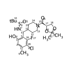 Cc1cc(O)c([C@H](N[S@@+]([O-])C(C)(C)C)C2CCN(C(=O)[C@H]3COC(C)(C)O3)CC2)c(F)c1Cl